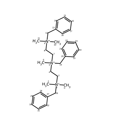 C[N+](C)(CC[N+](C)(CC[N+](C)(C)Cc1ccccc1)Cc1ccccc1)Cc1ccccc1